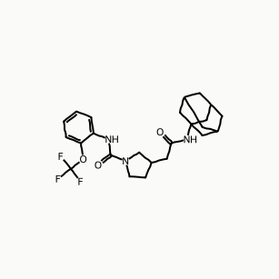 O=C(CC1CCN(C(=O)Nc2ccccc2OC(F)(F)F)C1)NC12CC3CC(CC(C3)C1)C2